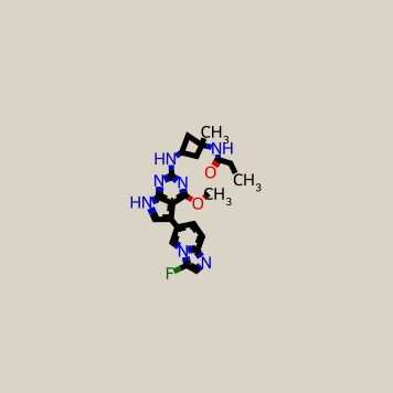 CCC(=O)NC1(C)CC(Nc2nc(OC)c3c(-c4ccc5ncc(F)n5c4)c[nH]c3n2)C1